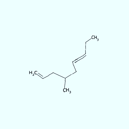 C=CCC(C)C/C=C/CC